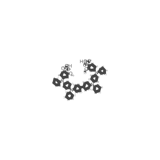 COc1cc(N(c2ccccc2)c2ccc(N(c3ccccc3)c3ccc(-c4ccc(N(c5ccccc5)c5ccc(N(c6ccccc6)c6ccc(S(=O)(=O)O)c(OC)c6)cc5)cc4)cc3)cc2)ccc1S(=O)(=O)O